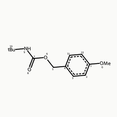 COc1ccc(COC(=O)NC(C)(C)C)cc1